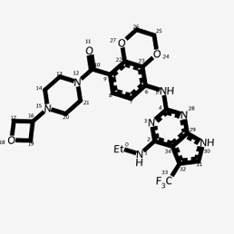 CCNc1nc(Nc2ccc(C(=O)N3CCN(C4COC4)CC3)c3c2OCCO3)nc2[nH]cc(C(F)(F)F)c12